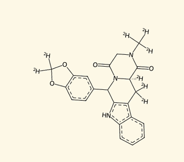 [2H]C1([2H])Oc2ccc(C3c4[nH]c5ccccc5c4C([2H])([2H])[C@]4([2H])C(=O)N(C([2H])([2H])[2H])CC(=O)N34)cc2O1